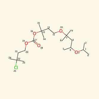 CC(C)OC(C)CC(C)(C)OCCC(C)(C)OC(=O)OCCC(C)(C)Cl